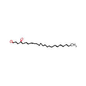 CCCCCCCCCCCCCCCCCCCCC(=O)CCC=O